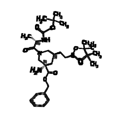 C[C@H](NC(=O)OC(C)(C)C)C(=O)N1C[C@@H](CCB2OC(C)(C)C(C)(C)O2)C[C@@](N)(C(=O)OCc2ccccc2)C1